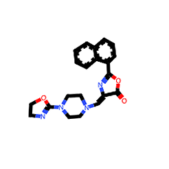 O=C1OC(c2cccc3ccccc23)=NC1=CN1CCN(C2=NCCO2)CC1